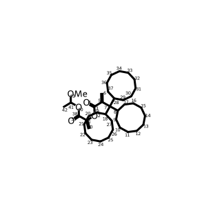 C=C(OC(=O)C(=C)C(C1CCCCCCCCC1)(C1CCCCCCCCC1)C1CCCCCCCCC1)C(=O)OC(C)OC